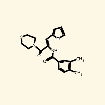 Cc1ccc(C(=O)N/C(=C\c2ccco2)C(=O)N2CCSCC2)cc1C